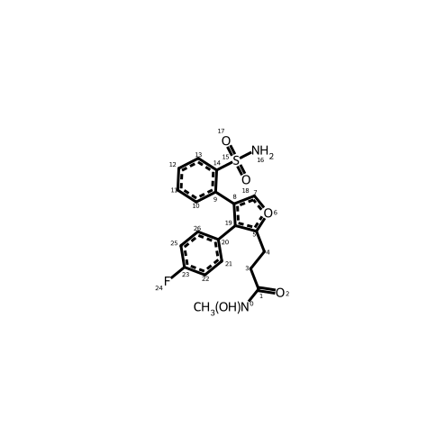 CN(O)C(=O)CCc1occ(-c2ccccc2S(N)(=O)=O)c1-c1ccc(F)cc1